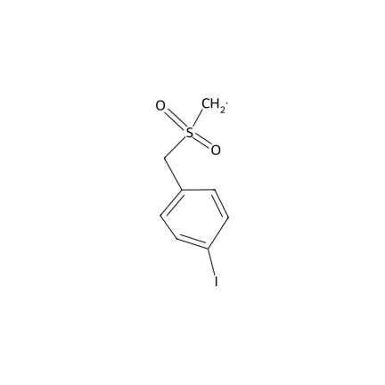 [CH2]S(=O)(=O)Cc1ccc(I)cc1